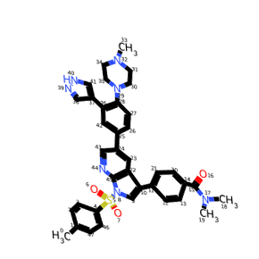 Cc1ccc(S(=O)(=O)n2cc(-c3ccc(C(=O)N(C)C)cc3)c3cc(-c4ccc(N5CCN(C)CC5)c(-c5cn[nH]c5)c4)cnc32)cc1